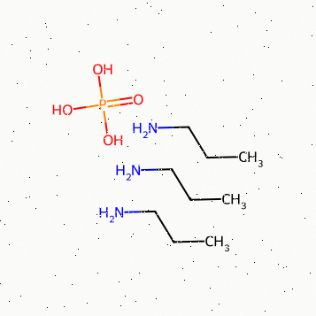 CCCN.CCCN.CCCN.O=P(O)(O)O